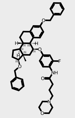 C[C@]12C[C@H](Oc3ccc(NC(=O)CCCN4CCOCC4)c(F)c3)[C@@H]3c4ccc(OCc5ccccc5)cc4CC[C@H]3[C@@H]1CC[C@@H]2OCc1ccccc1